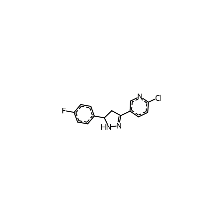 Fc1ccc(C2CC(c3ccc(Cl)nc3)=NN2)cc1